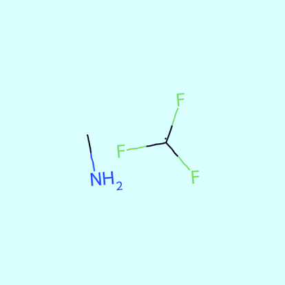 CN.F[C](F)F